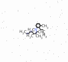 C/C=C\C=C/C(C)/C(C)=C(/C)N(C)c1cccc(C)c1CCC